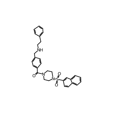 O=C(c1ccc(CNCCc2ccccc2)cc1)N1CCN(S(=O)(=O)c2ccc3ccccc3c2)CC1